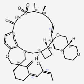 C=C1/C(=C\C(Cl)=C/C)CCC[C@]12COc1ccc3cc1N(C[C@@H]1CC[C@H]1[C@@]1(/C=C/C[C@H](C)[C@@H](C)S(=O)(=O)NC3=O)CN3CCOC[C@H]3CO1)C2